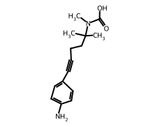 CN(C(=O)O)C(C)(C)CCC#Cc1ccc(N)cc1